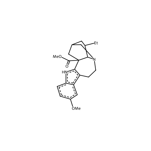 CCC1CC2CN3CCc4c([nH]c5ccc(OC)cc45)C(C(=O)OC)(C2)C13